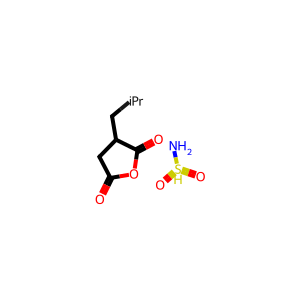 CC(C)CC1CC(=O)OC1=O.N[SH](=O)=O